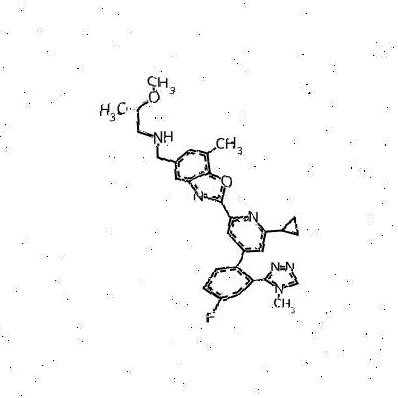 CO[C@@H](C)CNCc1cc(C)c2oc(-c3cc(-c4ccc(F)cc4-c4nncn4C)cc(C4CC4)n3)nc2c1